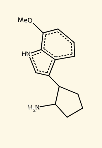 COc1cccc2c(C3CCCC3N)c[nH]c12